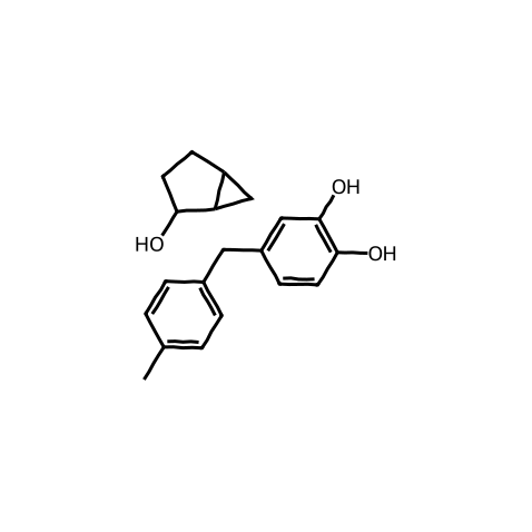 Cc1ccc(Cc2ccc(O)c(O)c2)cc1.OC1CCC2CC12